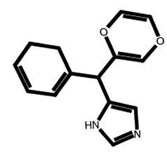 C1=CCCC(C(C2=COC=CO2)c2cnc[nH]2)=C1